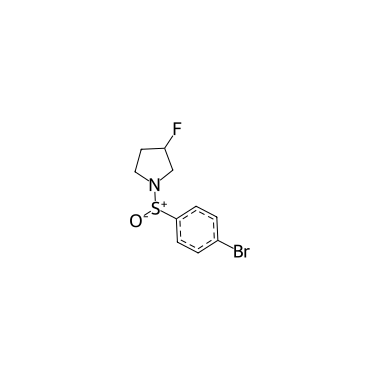 [O-][S+](c1ccc(Br)cc1)N1CCC(F)C1